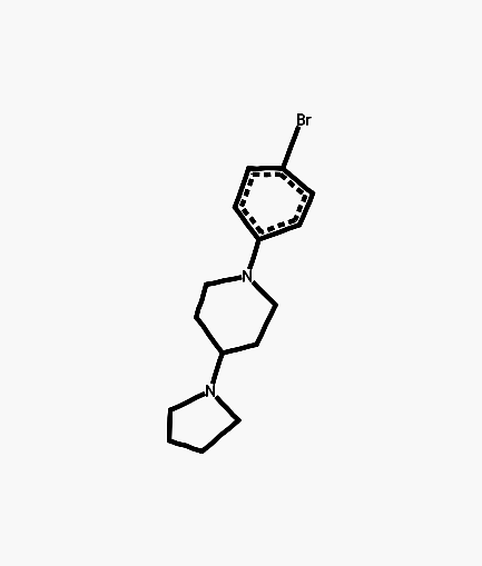 Brc1ccc(N2CCC(N3CCCC3)CC2)cc1